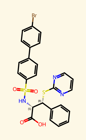 O=C(O)[C@H](NS(=O)(=O)c1ccc(-c2ccc(Br)cc2)cc1)[C@H](Sc1ncccn1)c1ccccc1